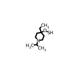 CCC1(OS)CCN(C(C)C)CC1